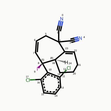 N#CC1(C#N)CC=C[C@@](I)(c2c(Cl)cccc2Cl)[C@@H]2CCCC=C21